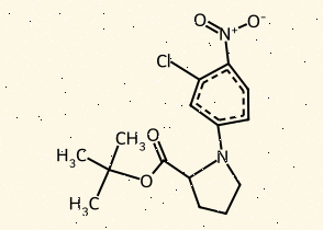 CC(C)(C)OC(=O)C1CCCN1c1ccc([N+](=O)[O-])c(Cl)c1